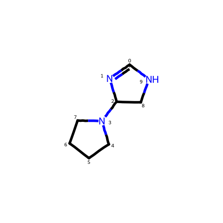 [C]1=NC(N2CCCC2)CN1